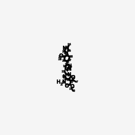 CCOC(=O)c1c(C)oc2nc(Cn3cc(-c4ccc(-n5cnc(C)c5)c(OC)c4)nn3)nc(N)c12